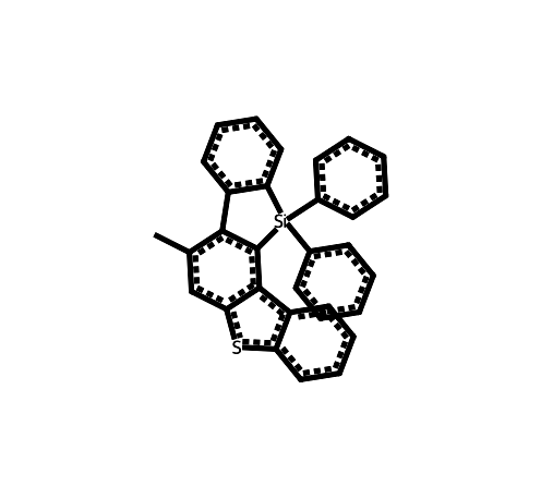 Cc1cc2sc3ccccc3c2c2c1-c1ccccc1[Si]2(c1ccccc1)c1ccccc1